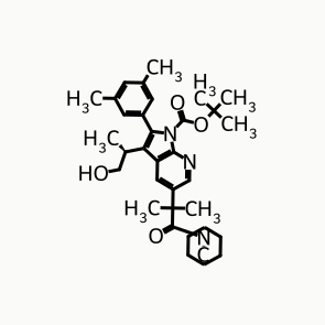 Cc1cc(C)cc(-c2c([C@H](C)CO)c3cc(C(C)(C)C(=O)N4CC5CCC4CC5)cnc3n2C(=O)OC(C)(C)C)c1